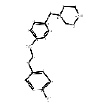 CC(C)c1ccc(CCOc2ccc(CN3CCNCC3)cc2)cc1